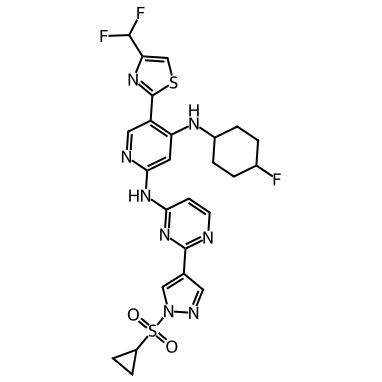 O=S(=O)(C1CC1)n1cc(-c2nccc(Nc3cc(NC4CCC(F)CC4)c(-c4nc(C(F)F)cs4)cn3)n2)cn1